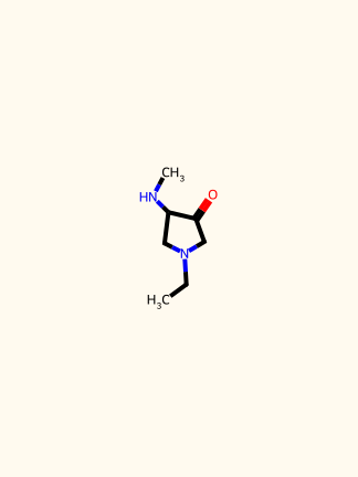 CCN1CC(=O)C(NC)C1